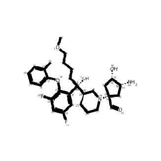 COCCCC[C@](O)(c1cc(F)cc(F)c1Oc1ccccc1C)[C@@H]1CCCN([C@@]2(C=O)C[C@@H](N)[C@@H](O)C2)C1